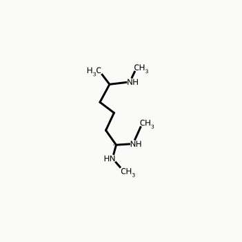 CN[C](CCCC(C)NC)NC